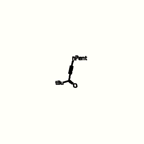 CCCCCC#CC(=O)C(C)(C)C